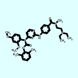 CCN(CC)CCN(C)C(=O)c1ccc(Nc2nccc(N(C(=O)Oc3c(C)cccc3C)c3ccc(OC)cc3OC)n2)cc1